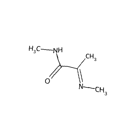 C/N=C(\C)C(=O)NC